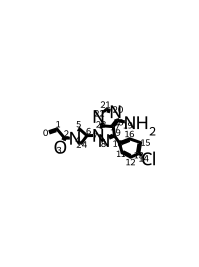 C=CC(=O)N1CC(n2nc(-c3ccc(Cl)cc3)c3c(N)ncnc32)C1